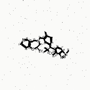 CCOC(=O)C(C)(C)[C@@H](c1ccc(C)c(CN2Cc3cnccc3O[C@H](CC)C2)c1)c1ccc2c(nnn2C)c1C